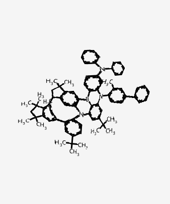 Cc1cc(-c2ccccc2)ccc1N1c2cc(N(c3ccccc3)c3ccccc3)ccc2B2c3cc4c5cc3N(c3ccc(C(C)(C)C)cc3-c3cc6c(c(c3)C5(C)CC4(C)C)C(C)(C)CC6(C)C)c3cc(C(C)(C)C)cc1c32